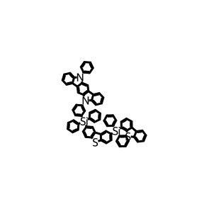 c1ccc(-n2c3ccccc3c3cc4c(cc32)c2ccccc2n4-c2cccc([Si](c3ccccc3)(c3ccccc3)c3ccc4sc5ccc([Si](c6ccccc6)(c6ccccc6)c6cccc7c6sc6ccccc67)cc5c4c3)c2)cc1